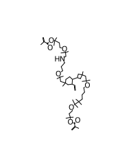 C=CC1CC(C)(CC(C)(C)OCCCNCC(C)(C)OCCC(C)(C)OC(=O)C(=C)C)CCC1C1CC(C)(CC(C)(C)OCCCCC(C)(C)C(C)(C)OCCC(C)(C)OC(=O)C(=C)C)C1